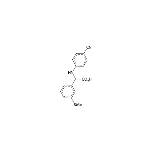 CSc1cccc(C(Nc2ccc(C#N)cc2)C(=O)O)c1